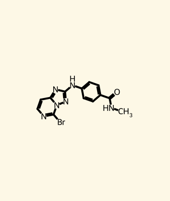 CNC(=O)c1ccc(Nc2nc3ccnc(Br)n3n2)cc1